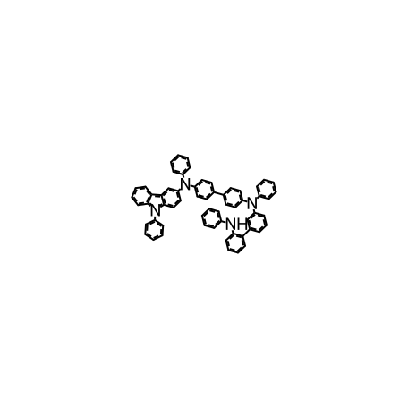 c1ccc(Nc2ccccc2-c2cccc(N(c3ccccc3)c3ccc(-c4ccc(N(c5ccccc5)c5ccc6c(c5)c5ccccc5n6-c5ccccc5)cc4)cc3)c2)cc1